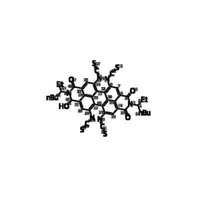 CCCCC(CC)N1C(=O)c2cc(N=C=S)c3c4c(N=C=S)cc5c6c(cc(N=C=S)c(c7c(N=C=S)cc(c2c37)C1=O)c64)C(O)N(C(CC)CCCC)C5=O